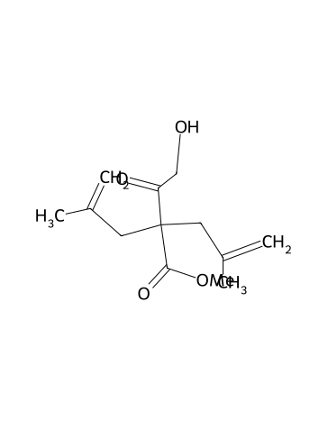 C=C(C)CC(CC(=C)C)(C(=O)CO)C(=O)OC